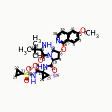 COc1ccc2c(O[C@@H]3C[C@@H](C(=O)N[C@]4(C(=O)NS(=O)(=O)C5CC5)C[C@H]4I)N(C(=O)[C@@H](N)C(C)(C)C)C3)nccc2c1